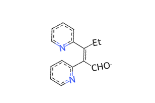 CC/C(=C(\[C]=O)c1ccccn1)c1ccccn1